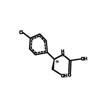 O=C(O)N[C@@H](CO)c1ccc(Cl)cc1